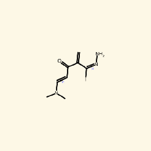 C=C(C(=O)/C=C/N(C)C)/C(I)=N\N